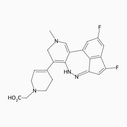 CN1C=C2C(=C(C3=CCN(CC(=O)O)CC3)C1)NN=C1C=C(F)c3cc(F)cc2c31